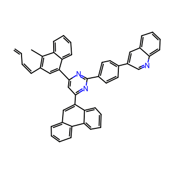 C=C/C=C\c1cc(-c2cc(-c3cc4ccccc4c4ccccc34)nc(-c3ccc(-c4cnc5ccccc5c4)cc3)n2)c2ccccc2c1C